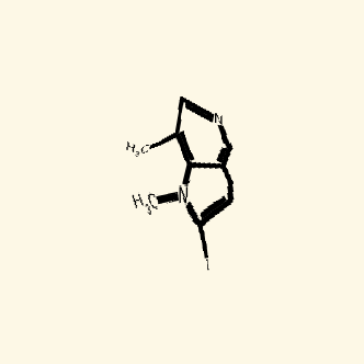 Cc1cncc2cc(I)n(C)c12